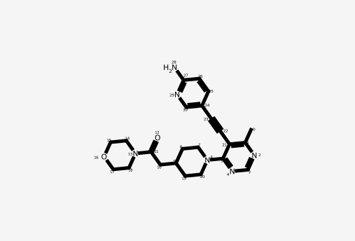 Cc1ncnc(N2CCC(CC(=O)N3CCOCC3)CC2)c1C#Cc1ccc(N)nc1